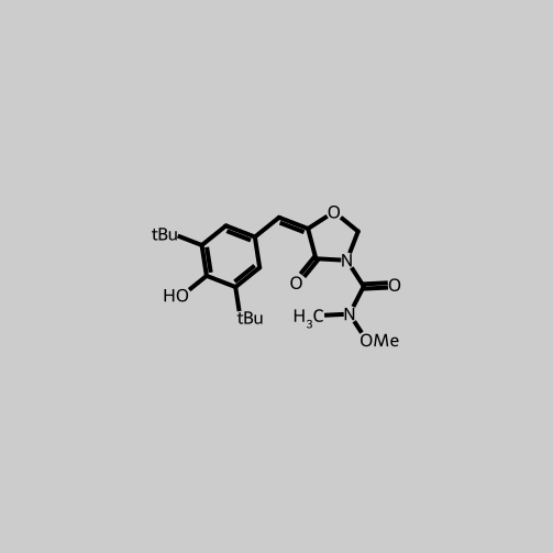 CON(C)C(=O)N1COC(=Cc2cc(C(C)(C)C)c(O)c(C(C)(C)C)c2)C1=O